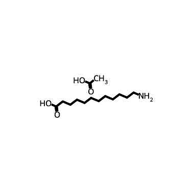 CC(=O)O.NCCCCCCCCCCCC(=O)O